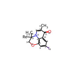 Cc1cn2c3c(cc(I)cc3c1=O)OC[C]2(C)[Re]